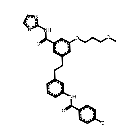 COCCCOc1cc(CCc2cccc(NC(=O)c3ccc(Cl)cc3)c2)cc(C(=O)Nc2nccs2)c1